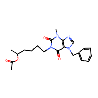 CC(=O)OC(C)CCCCn1c(=O)c2c(ncn2Cc2ccccc2)n(C)c1=O